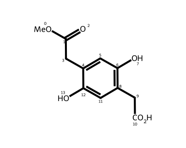 COC(=O)Cc1cc(O)c(CC(=O)O)cc1O